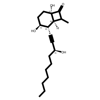 CCCCCCC[C@H](O)C#C[C@@H]1[C@@H](O)CC[C@@]2(O)C(=O)C(C)[C@@H]12